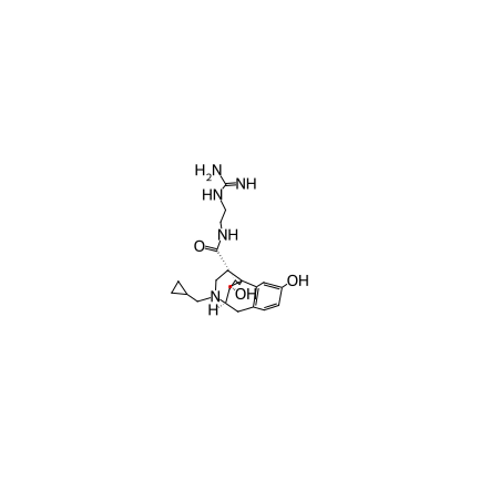 N=C(N)NCCNC(=O)[C@@H]1CC23CCN(CC4CC4)[C@H](Cc4ccc(O)cc42)[C@]3(O)C1